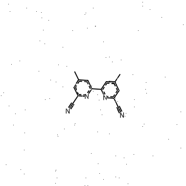 Cc1cc(C#N)nc(-c2cc(C)cc(C#N)n2)c1